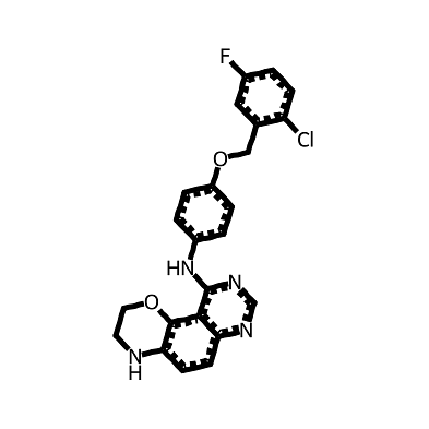 Fc1ccc(Cl)c(COc2ccc(Nc3ncnc4ccc5c(c34)OCCN5)cc2)c1